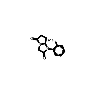 COc1ccccc1N1C(=O)CN2C(=O)CCC21